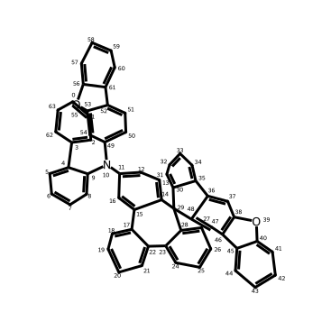 c1ccc(-c2ccccc2N(c2ccc3c(c2)-c2ccccc2-c2ccccc2C32c3ccccc3-c3cc4oc5ccccc5c4cc32)c2ccc3c(c2)oc2ccccc23)cc1